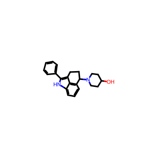 OC1CCN(C2CCc3c(-c4ccccc4)[nH]c4cccc2c34)CC1